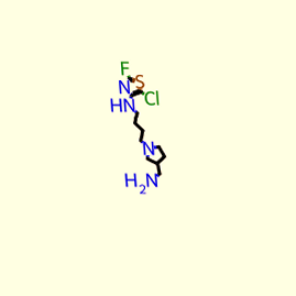 NCC1CCN(CCCCNc2nc(F)sc2Cl)C1